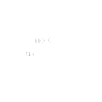 C=C[CH2][Na].CC(=O)O